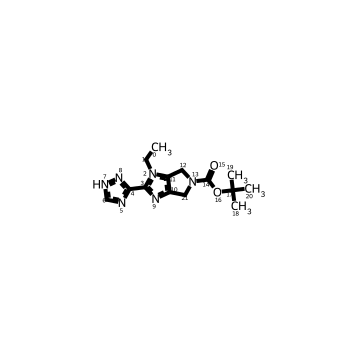 CCn1c(-c2nc[nH]n2)nc2c1CN(C(=O)OC(C)(C)C)C2